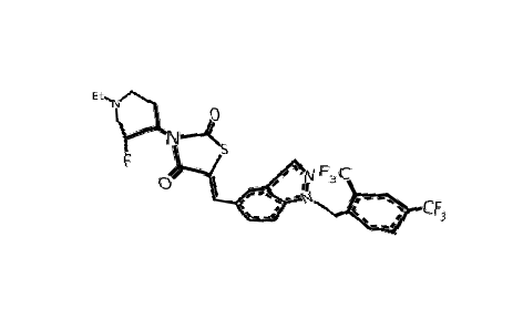 CCN1CCC(N2C(=O)SC(=Cc3ccc4c(cnn4Cc4ccc(C(F)(F)F)cc4C(F)(F)F)c3)C2=O)C(F)C1